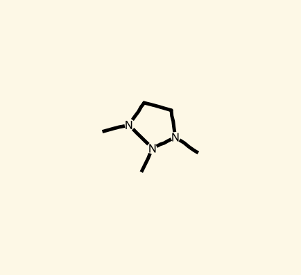 CN1CCN(C)N1C